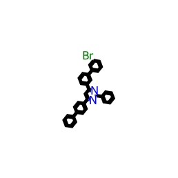 Brc1cccc(-c2cccc(-c3cc(-c4ccc(-c5ccccc5)cc4)nc(-c4ccccc4)n3)c2)c1